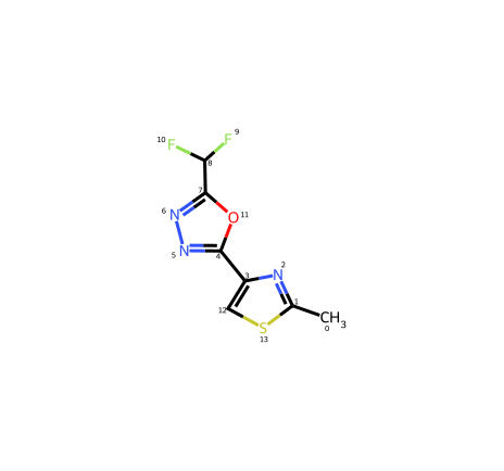 Cc1nc(-c2nnc(C(F)F)o2)cs1